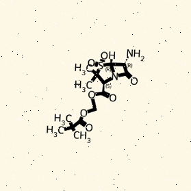 CC(C)(C)C(=O)OCOC(=O)[C@@H]1N2C(=O)[C@@H](N)[C@H]2S(=O)(=O)C1(C)C